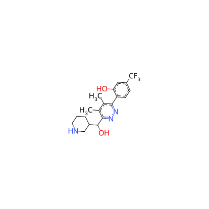 Cc1c(-c2ccc(C(F)(F)F)cc2O)nnc(C(O)C2CCCNC2)c1C